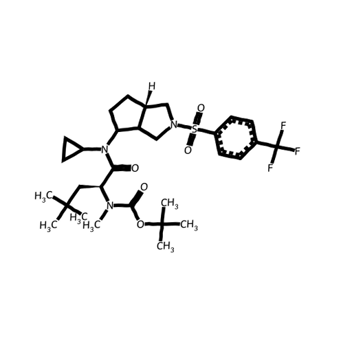 CN(C(=O)OC(C)(C)C)[C@@H](CC(C)(C)C)C(=O)N(C1CC1)C1CC[C@@H]2CN(S(=O)(=O)c3ccc(C(F)(F)F)cc3)CC12